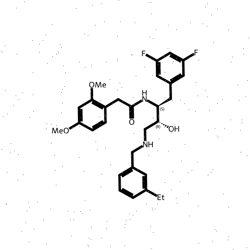 CCc1cccc(CNC[C@@H](O)[C@H](Cc2cc(F)cc(F)c2)NC(=O)Cc2ccc(OC)cc2OC)c1